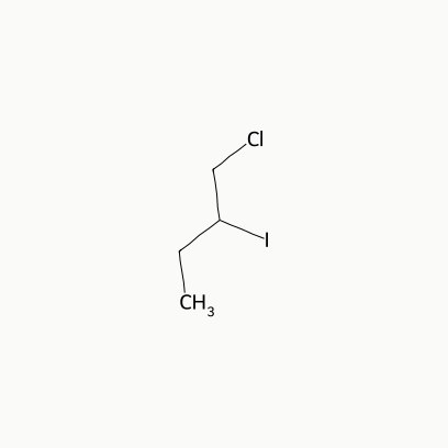 CCC(I)CCl